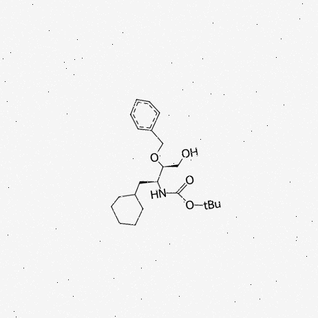 CC(C)(C)OC(=O)N[C@@H](CC1CCCCC1)[C@H](CO)OCc1ccccc1